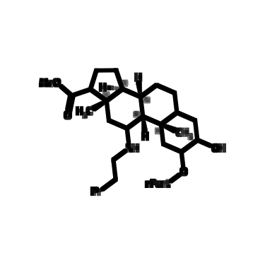 CCCCCOC1C[C@@]2(C)C(CC[C@@H]3[C@H]2C(NCCC(C)C)C[C@]2(C)C(C(=O)OC)CC[C@@H]32)CC1O